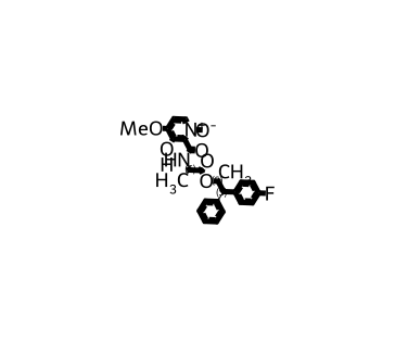 COc1cc[n+]([O-])c(C(=O)N[C@@H](C)C(=O)O[C@@H](C)[C@@H](c2ccccc2)c2ccc(F)cc2)c1O